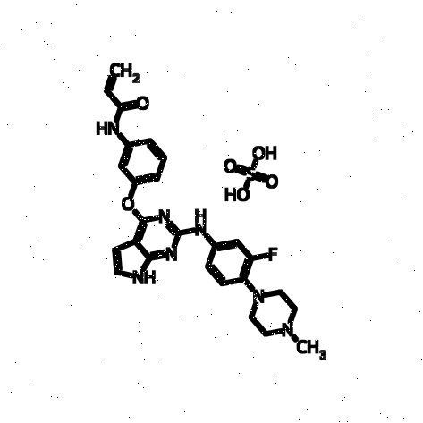 C=CC(=O)Nc1cccc(Oc2nc(Nc3ccc(N4CCN(C)CC4)c(F)c3)nc3[nH]ccc23)c1.O=S(=O)(O)O